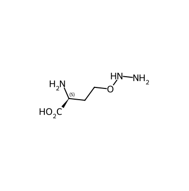 NNOCC[C@H](N)C(=O)O